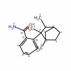 CC1C2CCC(C)(C2)C1(C)c1ccccc1C(N)=O